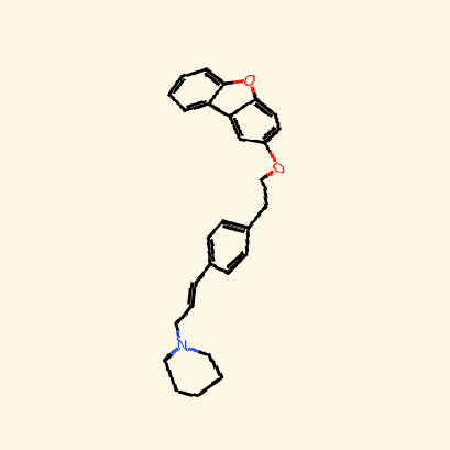 C(=C\c1ccc(CCOc2ccc3oc4ccccc4c3c2)cc1)/CN1CCCCC1